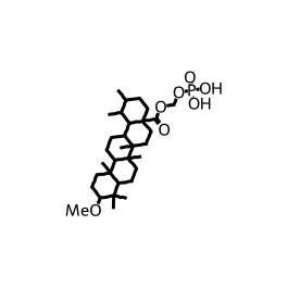 COC1CCC2(C)C(CCC3(C)C2CCC2C4C(C)C(C)CCC4(C(=O)OCOP(=O)(O)O)CCC23C)C1(C)C